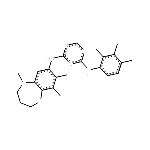 Cc1ccc(Nc2ncnc(Nc3cc4c(c(C)c3C)OCCCN4C)n2)c(C)c1C